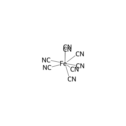 N#[C][Fe]([C]#N)([C]#N)([C]#N)([C]#N)([C]#N)([C]#N)[C]#N